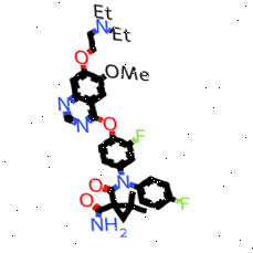 CCN(CC)CCOc1cc2ncnc(Oc3ccc(N(C(=O)C4(C(N)=O)CC4(C)C)c4ccc(F)cc4)cc3F)c2cc1OC